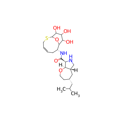 CC(C)C[C@@H]1CCO[C@@H]2[C@H](CN[C@@H]2C(=O)N[C@@H]2C/C=C\CSC3OC2C(O)C(O)C3O)C1